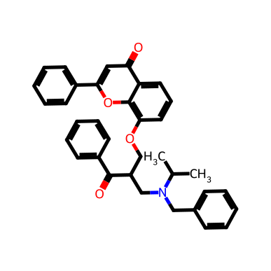 CC(C)N(Cc1ccccc1)CC(COc1cccc2c(=O)cc(-c3ccccc3)oc12)C(=O)c1ccccc1